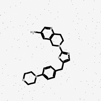 Nc1cnc2c(c1)CN(c1ncc(Cc3ccc(N4CCOCC4)cc3)s1)CC2